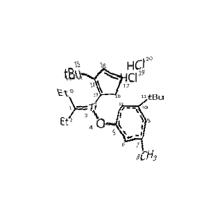 CC[C](CC)=[Ti]([O]c1cc(C)cc(C(C)(C)C)c1)[C]1=C(C(C)(C)C)C=CC1.Cl.Cl